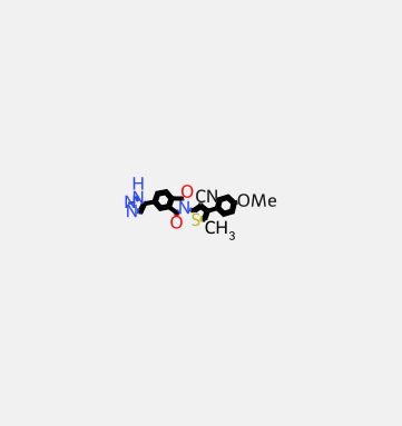 COc1ccc(-c2c(C)sc(N3C(=O)c4ccc(-c5cnn[nH]5)cc4C3=O)c2C#N)cc1